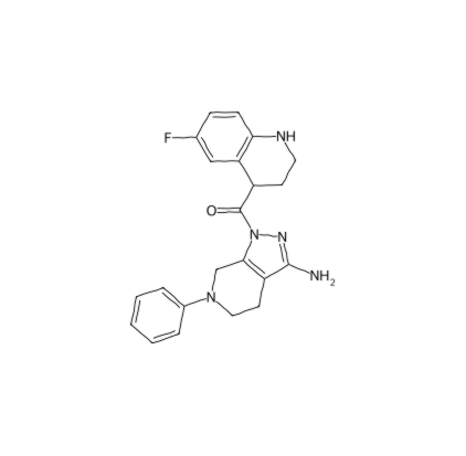 Nc1nn(C(=O)C2CCNc3ccc(F)cc32)c2c1CCN(c1ccccc1)C2